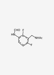 CC(=O)NCc1c(F)ccc(NC=O)c1F